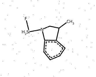 CC1CN([SiH2]F)c2ccccc21